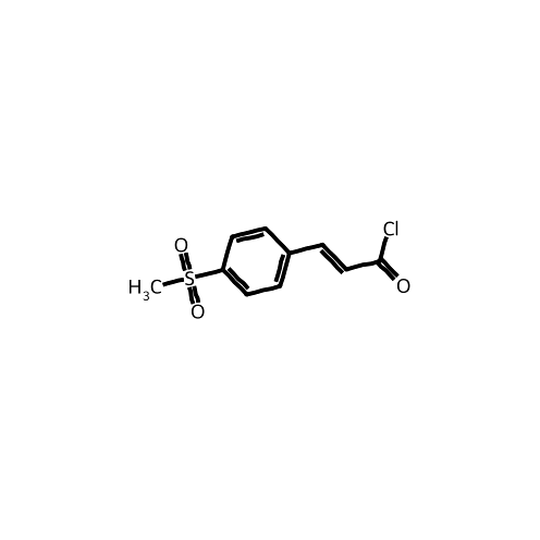 CS(=O)(=O)c1ccc(/C=C/C(=O)Cl)cc1